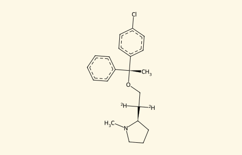 [2H]C([2H])(CO[C@](C)(c1ccccc1)c1ccc(Cl)cc1)[C@H]1CCCN1C